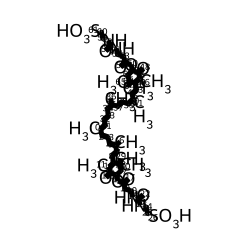 CC(C=CC=C(C)C=CC1=C(C)C(=O)C(OC(=O)CCNC(=O)NCCS(=O)(=O)O)CC1(C)C)=CC=CC=C(C)C=CC=C(C)C=CC1=C(C)C(=O)C(OC(=O)CCNC(=O)NCCS(=O)(=O)O)CC1(C)C